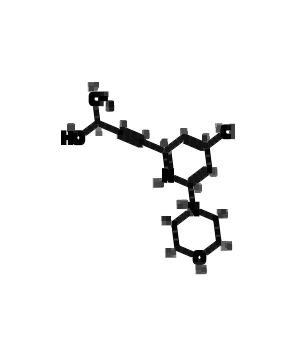 OC(C#Cc1cc(Cl)cc(N2CCOCC2)n1)C(F)(F)F